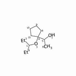 CCC(CC)OC1(C(C)O)CCCC1